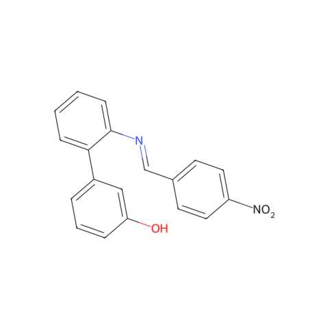 O=[N+]([O-])c1ccc(C=Nc2ccccc2-c2cccc(O)c2)cc1